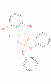 O=P(Oc1ccccc1)(Oc1ccccc1)OS(=O)(=O)c1c(O)cccc1O